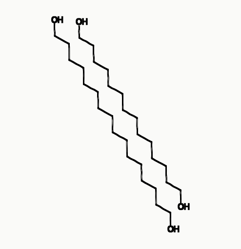 OCCCCCCCCCCCCCCCCO.OCCCCCCCCCCCCCCO